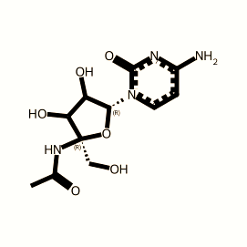 CC(=O)N[C@]1(CO)O[C@@H](n2ccc(N)nc2=O)C(O)C1O